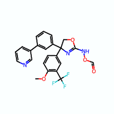 COc1ccc(C2(c3cccc(-c4cccnc4)c3)COC(NOC=O)=N2)cc1C(F)(F)F